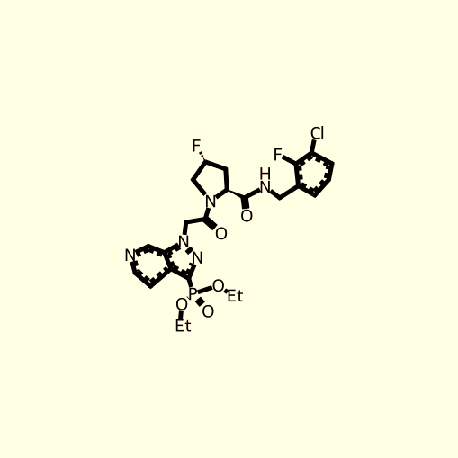 CCOP(=O)(OCC)c1nn(CC(=O)N2C[C@H](F)C[C@H]2C(=O)NCc2cccc(Cl)c2F)c2cnccc12